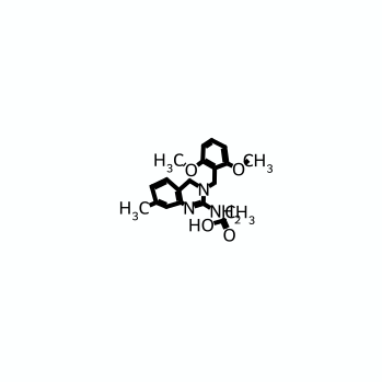 CC(=O)O.COc1cccc(OC)c1CN1Cc2ccc(C)cc2N=C1N